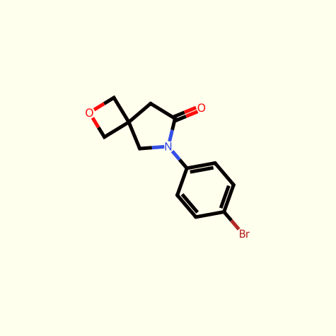 O=C1CC2(COC2)CN1c1ccc(Br)cc1